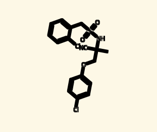 CC(C#N)(COc1ccc(Cl)cc1)NS(=O)(=O)Cc1ccccc1Cl